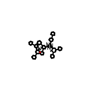 CC1C(c2nc(-c3ccc(-c4ccccc4)cc3)nc(-c3cc(-c4ccccc4)c(-n4c5ccc(-c6ccccc6)cc5c5cc(-c6ccccc6)ccc54)c(-c4ccccc4)c3)n2)=CC(c2ccccc2)=CC1c1ccccc1